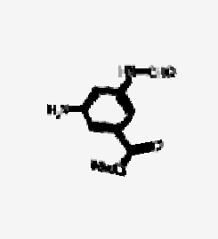 COC(=O)c1cc(N)cc(NC=O)c1